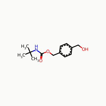 CC(C)(C)NC(=O)OCc1ccc(CO)cc1